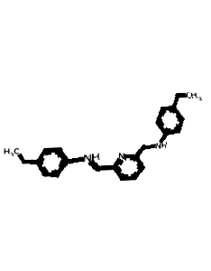 CCc1ccc(NCc2cccc(CNc3ccc(CC)cc3)n2)cc1